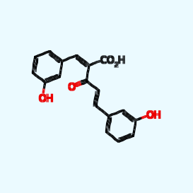 O=C(O)C(=Cc1cccc(O)c1)C(=O)C=Cc1cccc(O)c1